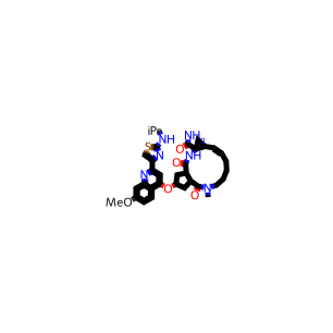 COc1ccc2c(OC3CC4C(=O)NC5(C(N)=O)CC5C=CCCCCN(C)C(=O)C4C3)cc(-c3csc(NC(C)C)n3)nc2c1